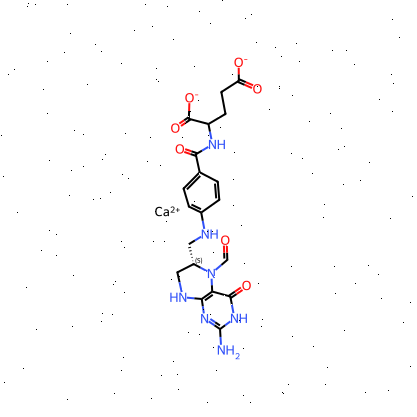 Nc1nc2c(c(=O)[nH]1)N(C=O)[C@@H](CNc1ccc(C(=O)NC(CCC(=O)[O-])C(=O)[O-])cc1)CN2.[Ca+2]